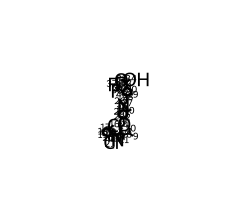 Cc1cc(OCc2c(C(C)C)cnn2-c2c(Cl)cccc2Cl)ccc1N(C)Cc1ccc(C(=O)O)c(C(F)(F)F)c1